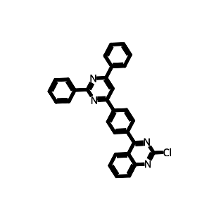 Clc1nc(-c2ccc(-c3cc(-c4ccccc4)nc(-c4ccccc4)n3)cc2)c2ccccc2n1